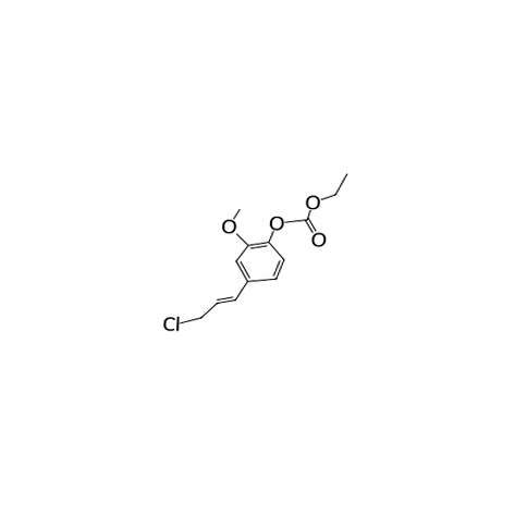 CCOC(=O)Oc1ccc(C=CCCl)cc1OC